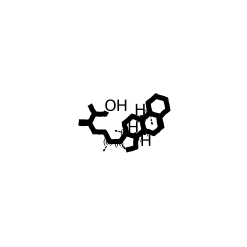 C=C(CC[C@@H](C)[C@H]1CC[C@H]2[C@@H]3CC=C4CCCC[C@]4(C)[C@H]3CC[C@]12C)C(C)CO